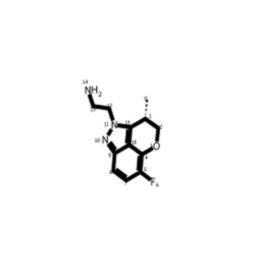 C[C@@H]1COc2c(F)ccc3nn(CCN)c1c23